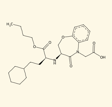 CCCCOC(=O)[C@H](CCC1CCCCC1)N[C@H]1COc2ccccc2N(CC(=O)O)C1=O